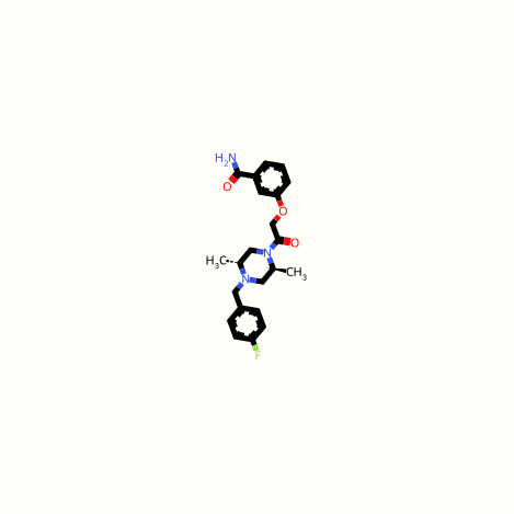 C[C@@H]1CN(C(=O)COc2cccc(C(N)=O)c2)[C@@H](C)CN1Cc1ccc(F)cc1